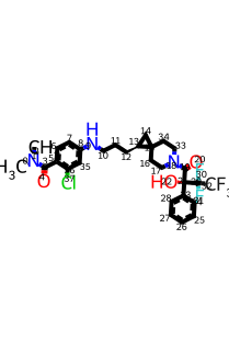 CN(C)C(=O)c1ccc(NCCC[C@H]2CC23CCN(C(=O)[C@@](O)(c2ccccc2)C(F)(F)C(F)(F)F)CC3)cc1Cl